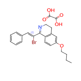 CCCCOc1ccc2c(c1)CCN=C2/C(Br)=C/c1ccccc1.O=C(O)C(=O)O